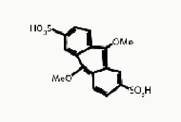 COc1c2ccc(S(=O)(=O)O)cc2c(OC)c2ccc(S(=O)(=O)O)cc12